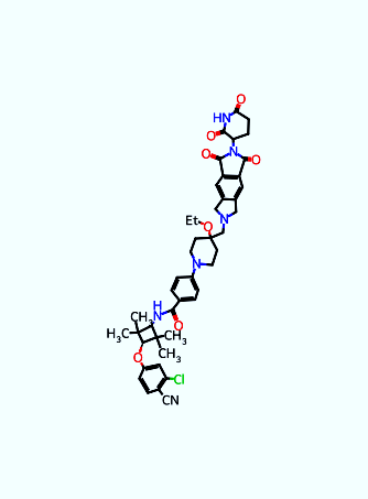 CCOC1(CN2Cc3cc4c(cc3C2)C(=O)N(C2CCC(=O)NC2=O)C4=O)CCN(c2ccc(C(=O)N[C@H]3C(C)(C)[C@H](Oc4ccc(C#N)c(Cl)c4)C3(C)C)cc2)CC1